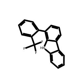 FC(F)(F)c1ccccc1-c1cccc2c1[nH]c1ccccc12